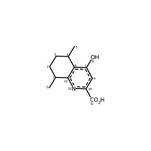 CC1CCC(C)c2c(O)cc(C(=O)O)nc21